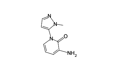 Cn1nccc1-n1cccc(N)c1=O